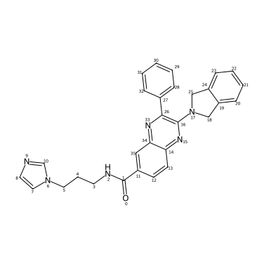 O=C(NCCCn1ccnc1)c1ccc2nc(N3Cc4ccccc4C3)c(-c3ccccc3)nc2c1